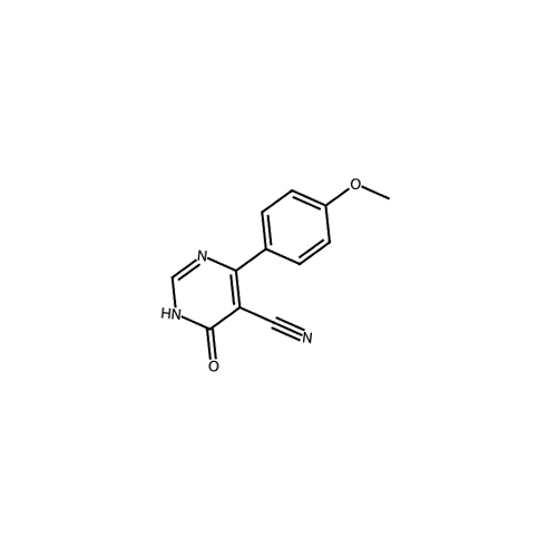 COc1ccc(-c2nc[nH]c(=O)c2C#N)cc1